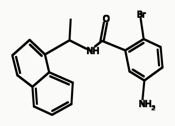 CC(NC(=O)c1cc(N)ccc1Br)c1cccc2ccccc12